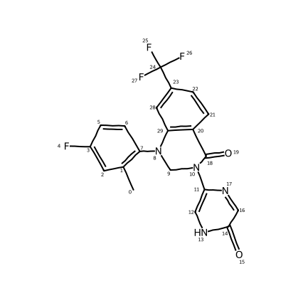 Cc1cc(F)ccc1N1CN(c2c[nH]c(=O)cn2)C(=O)c2ccc(C(F)(F)F)cc21